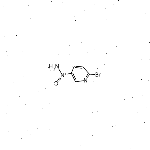 N[N+](=O)c1[c]cc(Br)nc1